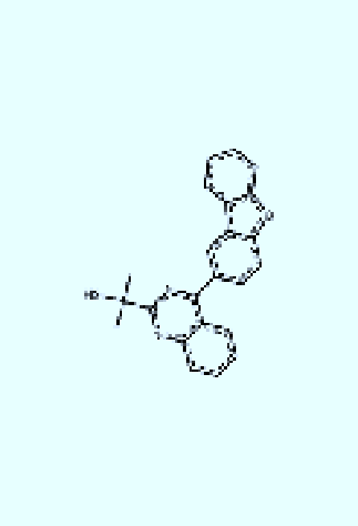 CC(C)(S)c1nc(-c2ccc3oc4ccccc4c3c2)c2ccccc2n1